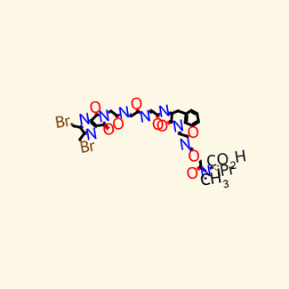 CC(C)[C@@H](C(=O)O)N(C)C(=O)COC=NC(=O)C=NC(=O)C(Cc1ccccc1)=NC(=O)C=NC(=O)C=NC(=O)CN1C(=O)c2nc(CBr)c(CBr)nc2C1=O